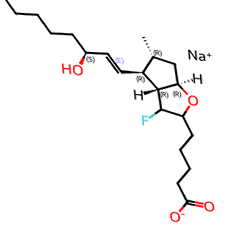 CCCCC[C@H](O)/C=C/[C@@H]1[C@H]2C(F)C(CCCCC(=O)[O-])O[C@@H]2C[C@H]1C.[Na+]